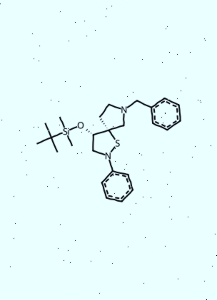 CC(C)(C)[Si](C)(C)O[C@H]1CN(c2ccccc2)S[C@@]12CCN(Cc1ccccc1)C2